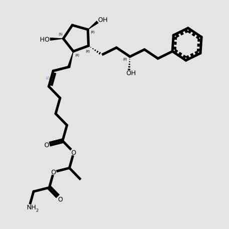 CC(OC(=O)CN)OC(=O)CCC/C=C\C[C@@H]1[C@@H](CC[C@@H](O)CCc2ccccc2)[C@H](O)C[C@@H]1O